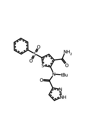 CC(C)(C)N(C(=O)c1cc[nH]n1)c1sc(S(=O)(=O)c2ccccc2)cc1C(N)=O